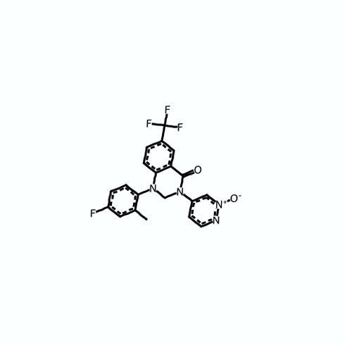 Cc1cc(F)ccc1N1CN(c2ccn[n+]([O-])c2)C(=O)c2cc(C(F)(F)F)ccc21